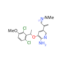 C=C(/C=N\NC)c1cnc(N)c(OC(C)c2c(Cl)ccc(OC)c2Cl)c1